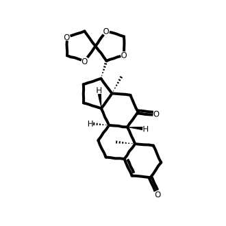 C[C@]12CC(=O)[C@H]3[C@@H](CCC4=CC(=O)CC[C@@]43C)[C@@H]1CC[C@@H]2C1OCOC12COCO2